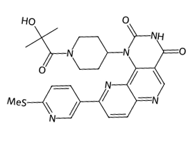 CSc1ccc(-c2ccc3ncc4c(=O)[nH]c(=O)n(C5CCN(C(=O)C(C)(C)O)CC5)c4c3n2)cn1